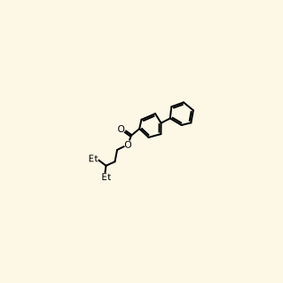 CCC(CC)CCOC(=O)c1ccc(-c2ccccc2)cc1